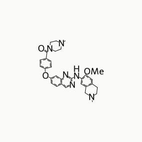 COc1cc2c(cc1Nc1ncc3ccc(Oc4ccc(C(=O)N5CCN(C)CC5)cc4)cc3n1)CN(C)CC2